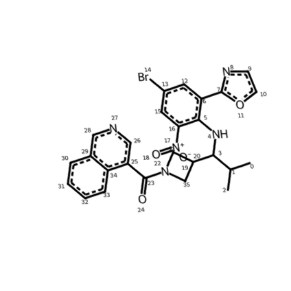 CC(C)C(Nc1c(-c2ncco2)cc(Br)cc1[N+](=O)[O-])C1CN(C(=O)c2cncc3ccccc23)C1